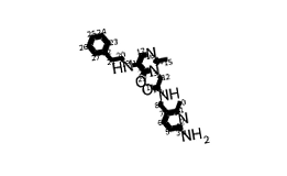 Cc1nc(N)ccc1CNC(=O)Cn1c(C)ncc(NCCc2ccccc2)c1=O